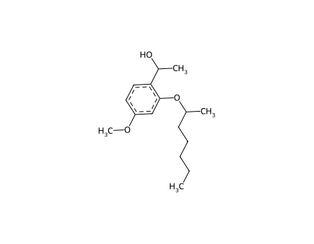 CCCCCC(C)Oc1cc(OC)ccc1C(C)O